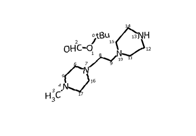 CC(C)(C)OC=O.CN1CCN(CCN2CCNCC2)CC1